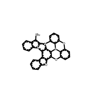 CC(C)(C)c1c2ccccc2n2c3c4c(oc5ccccc54)c4c5c3n(c12)-c1cccc2c1B5c1c(cccc1O4)O2